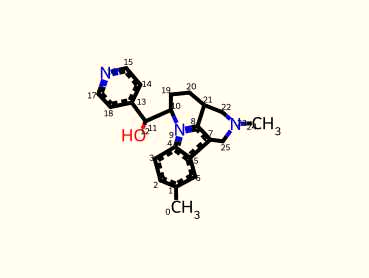 Cc1ccc2c(c1)c1c3n2C(C(O)c2ccncc2)CCC3CN(C)C1